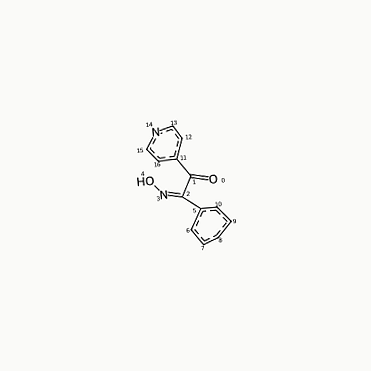 O=C(C(=NO)c1ccccc1)c1ccncc1